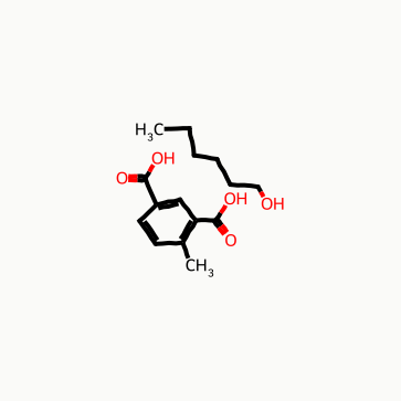 CCCCCCO.Cc1ccc(C(=O)O)cc1C(=O)O